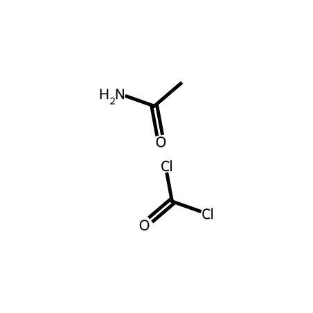 CC(N)=O.O=C(Cl)Cl